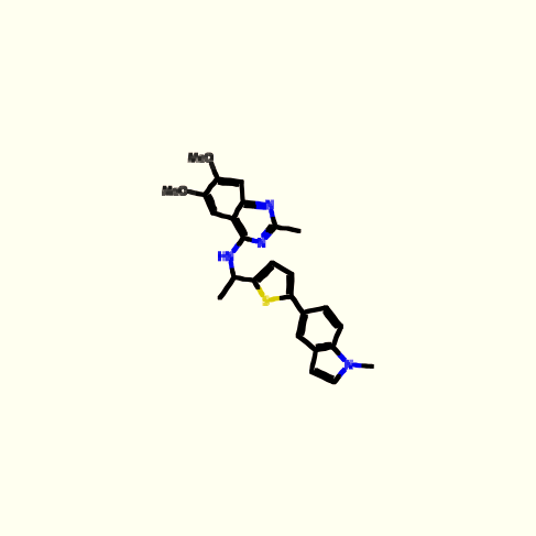 COc1cc2nc(C)nc(NC(C)c3ccc(-c4ccc5c(ccn5C)c4)s3)c2cc1OC